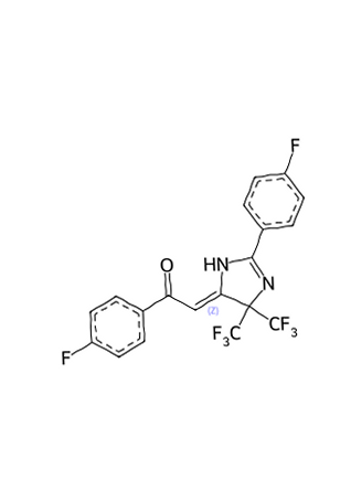 O=C(/C=C1\NC(c2ccc(F)cc2)=NC1(C(F)(F)F)C(F)(F)F)c1ccc(F)cc1